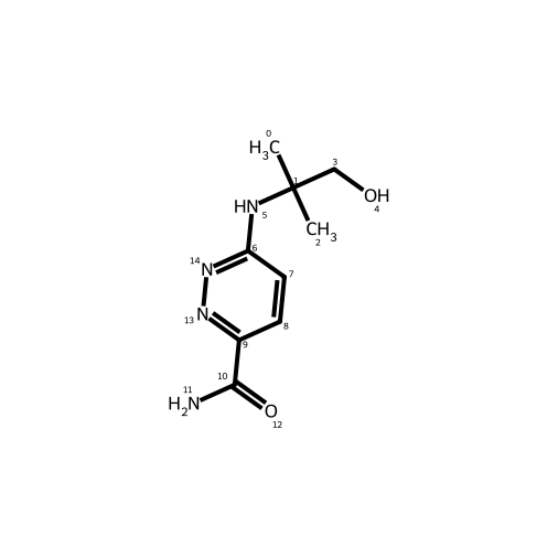 CC(C)(CO)Nc1ccc(C(N)=O)nn1